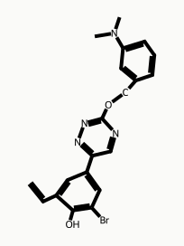 C=Cc1cc(-c2cnc(OCc3cccc(N(C)C)c3)nn2)cc(Br)c1O